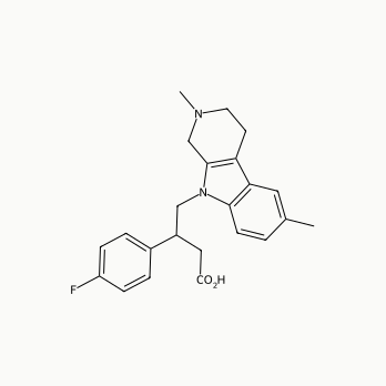 Cc1ccc2c(c1)c1c(n2CC(CC(=O)O)c2ccc(F)cc2)CN(C)CC1